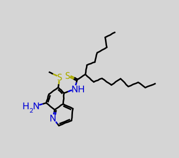 CCCCCCCCC(CCCCCC)C(=S)Nc1c(SC)cc(N)c2ncccc12